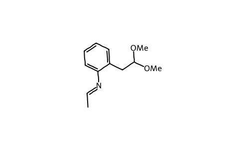 CC=Nc1ccccc1CC(OC)OC